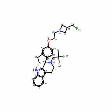 C[C@@H]1Cc2c([nH]c3ccccc23)[C@]2(CCc3cc(OCCN4CC(CF)C4)ccc32)N1CC(C)(C)F